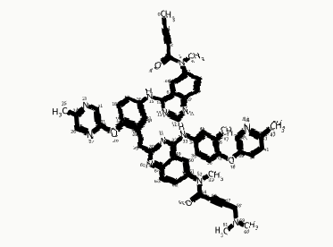 CC#CC(=O)N(C)c1ccc2ncnc(Nc3ccc(Oc4cnc(C)cn4)c(Cc4nc(Nc5ccc(Oc6ccc(C)nc6)c(C)c5)c5cc(N(C)C(=O)C#CCN(C)C)ccc5n4)c3)c2c1